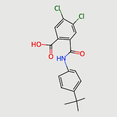 CC(C)(C)c1ccc(NC(=O)c2cc(Cl)c(Cl)cc2C(=O)O)cc1